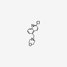 Clc1ccc2c(CN3CCOCC3)cccc2n1